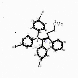 COCC/C(=C(\B(c1ccc(F)cc1)c1ccc(F)cc1)c1ccc(F)cc1)c1ccccc1